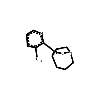 FC(F)(F)c1cccnc1N1CCN2CCCC1CC2